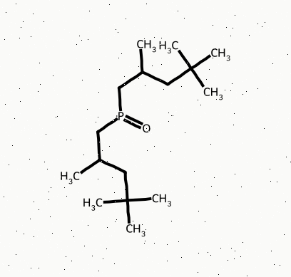 CC(C[P](=O)CC(C)CC(C)(C)C)CC(C)(C)C